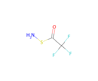 NSC(=O)C(F)(F)F